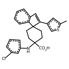 Cc1cc(C2=Cc3ccccc3C23CCC(Nc2cccc(Cl)c2)(C(=O)O)CC3)cs1